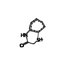 O=C1C[SH]c2ccccc2N1